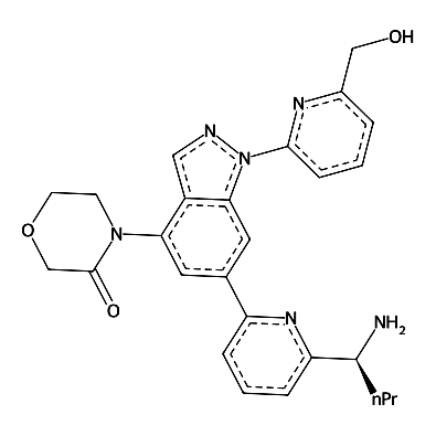 CCC[C@H](N)c1cccc(-c2cc(N3CCOCC3=O)c3cnn(-c4cccc(CO)n4)c3c2)n1